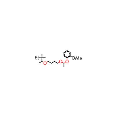 CCC(C)(C)C(C)OCCCCOC(C)Oc1ccccc1OC